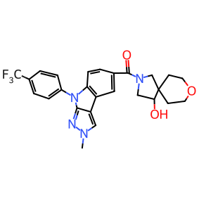 Cn1cc2c3cc(C(=O)N4CC(O)C5(CCOCC5)C4)ccc3n(-c3ccc(C(F)(F)F)cc3)c2n1